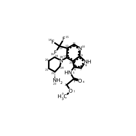 COCC(=O)Nc1c[nH]c2ncc(C(F)(F)F)c(N3CCC[C@@H](N)C3)c12